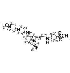 CN1CCC(N2CCC(Nc3cccc4c3cc(C#CCNc3ccc(S(C)(=O)=O)cc3)n4CC(F)(F)F)CC2)CC1